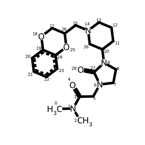 CN(C)C(=O)CN1CCN(C2CCCN(CC3COc4ccccc4O3)C2)C1=O